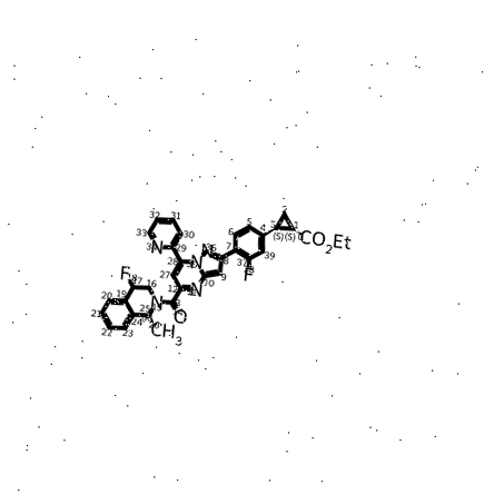 CCOC(=O)[C@H]1C[C@@H]1c1ccc(-c2cc3nc(C(=O)N4CC(F)c5ccccc5[C@H]4C)cc(-c4ccccn4)n3n2)c(F)c1